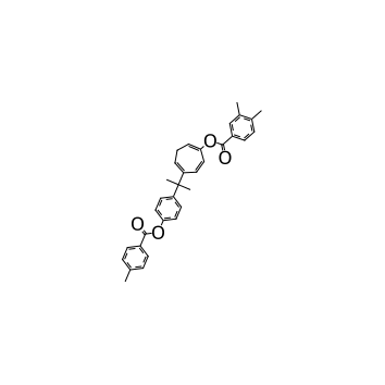 Cc1ccc(C(=O)Oc2ccc(C(C)(C)C3=CCC=C(OC(=O)c4ccc(C)c(C)c4)C=C3)cc2)cc1